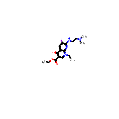 CCOC(=O)c1cn(CC)c2nc(NCCN(C)C)c(I)cc2c1=O